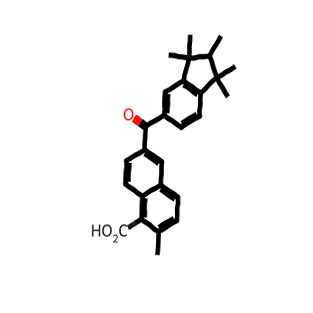 Cc1ccc2cc(C(=O)c3ccc4c(c3)C(C)(C)C(C)C4(C)C)ccc2c1C(=O)O